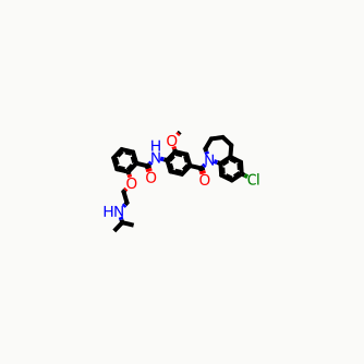 COc1cc(C(=O)N2CCCCc3cc(Cl)ccc32)ccc1NC(=O)c1ccccc1OCCNC(C)C